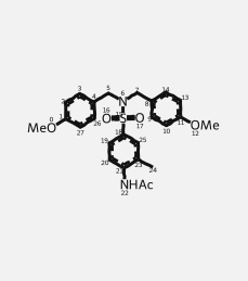 COc1ccc(CN(Cc2ccc(OC)cc2)S(=O)(=O)c2ccc(NC(C)=O)c(C)c2)cc1